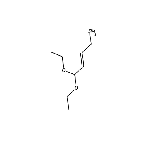 CCOC(C=CC[SiH3])OCC